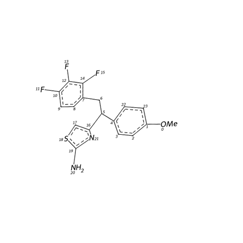 COc1ccc(C(Cc2ccc(F)c(F)c2F)c2csc(N)n2)cc1